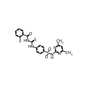 Cc1cc(C)nc(NS(=O)(=O)c2ccc(NC(=S)NC(=O)c3ccccc3F)cc2)n1